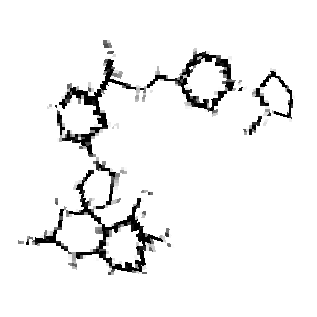 CN1CCC[C@H]1c1ccc(CNC(=O)c2cnnc(N3CC[C@]4(C3)OC(=O)Nc3ccc(Cl)c(F)c34)c2)cc1